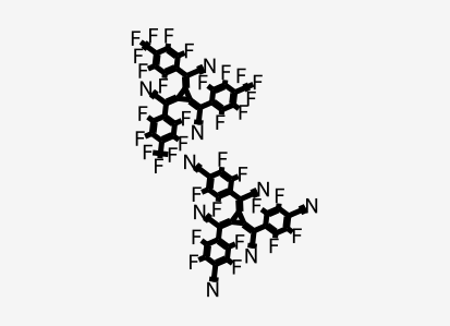 N#CC(=C1C(=C(C#N)c2c(F)c(F)c(C#N)c(F)c2F)C1=C(C#N)c1c(F)c(F)c(C#N)c(F)c1F)c1c(F)c(F)c(C#N)c(F)c1F.N#CC(=C1C(=C(C#N)c2c(F)c(F)c(C(F)(F)F)c(F)c2F)C1=C(C#N)c1c(F)c(F)c(C(F)(F)F)c(F)c1F)c1c(F)c(F)c(C(F)(F)F)c(F)c1F